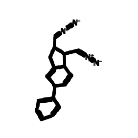 [N-]=[N+]=CC1CC2=CC(c3ccccc3)C=CC2C1C=[N+]=[N-]